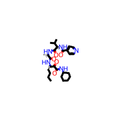 CCCC[C@H](NC(=O)[C@H](C)NC(=O)[C@@H](NC(=O)c1ccncc1)C(C)C)C(=O)C(=O)NC1CCCCC1